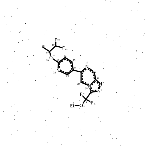 CCOC(F)(F)c1nnc2cnc(-c3ccc(OC(C)C(F)F)nc3)cn12